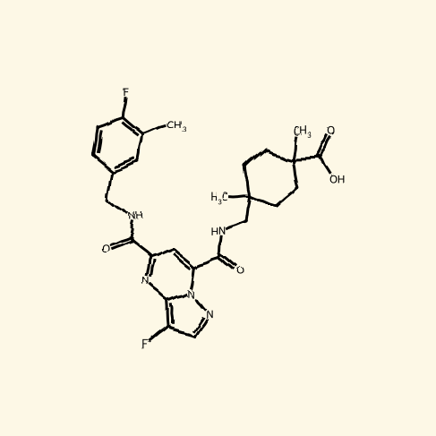 Cc1cc(CNC(=O)c2cc(C(=O)NCC3(C)CCC(C)(C(=O)O)CC3)n3ncc(F)c3n2)ccc1F